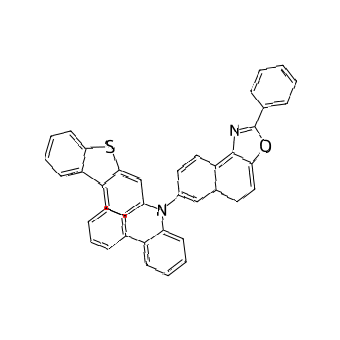 C1=CC2=c3nc(-c4ccccc4)oc3=CCC2C=C1N(c1ccc2c(c1)sc1ccccc12)c1ccccc1-c1ccccc1